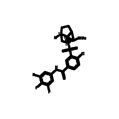 CC(=O)NC[C@@]1(O)C2CC[C@H]1C[C@H](S(=O)(=O)c1cc(C(=O)Nc3cc(F)c(F)c(F)c3)ccc1Cl)C2